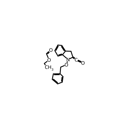 CCOC=O.O=C=C1Cc2ccccc2N1OCc1ccccc1